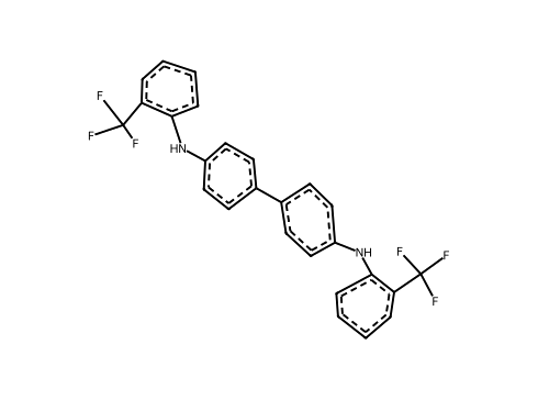 FC(F)(F)c1ccccc1Nc1ccc(-c2ccc(Nc3ccccc3C(F)(F)F)cc2)cc1